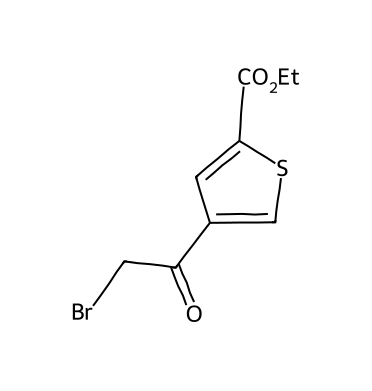 CCOC(=O)c1cc(C(=O)CBr)cs1